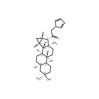 C[C@@]1(O)CC[C@H]2[C@H](CC[C@@H]3[C@@H]2CC[C@@]2(C)[C@H]3[C@@H]3C[C@@H]3[C@@H]2C(=O)Cn2ccnc2)C1